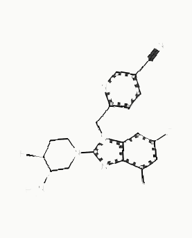 N#Cc1ccc(Cn2c(N3CC[C@H](F)[C@H](N)C3)nc3c(F)cc(F)cc32)nc1